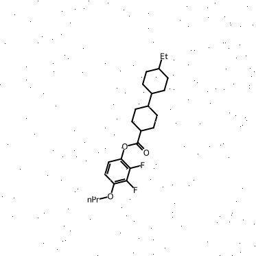 CCCOc1ccc(OC(=O)C2CCC(C3CCC(CC)CC3)CC2)c(F)c1F